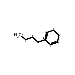 CCCCC1=CCCC=C1